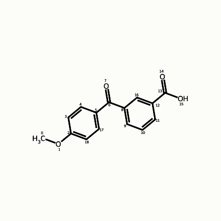 COc1ccc(C(=O)c2cccc(C(=O)O)c2)cc1